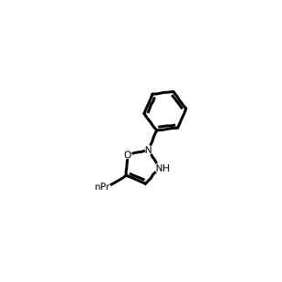 [CH2]CCC1=CNN(c2ccccc2)O1